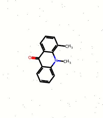 Cc1cccc2c(=O)c3ccccc3n(C)c12